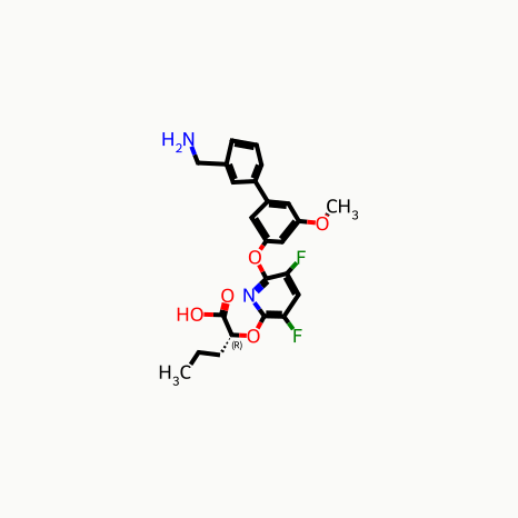 CCC[C@@H](Oc1nc(Oc2cc(OC)cc(-c3cccc(CN)c3)c2)c(F)cc1F)C(=O)O